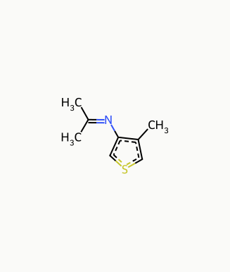 CC(C)=Nc1cscc1C